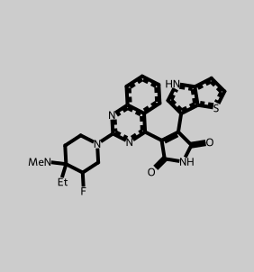 CCC1(NC)CCN(c2nc(C3=C(c4c[nH]c5ccsc45)C(=O)NC3=O)c3ccccc3n2)CC1F